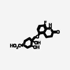 O=C1CCc2c(OC[C@@]3(O)CCN(C(=O)O)C[C@@H]3O)ccc(F)c2N1